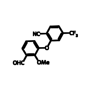 COc1c(C=O)cccc1Oc1cc(C(F)(F)F)ccc1C#N